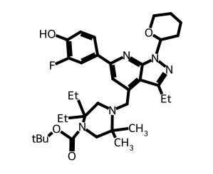 CCc1nn(C2CCCCO2)c2nc(-c3ccc(O)c(F)c3)cc(CN3CC(CC)(CC)N(C(=O)OC(C)(C)C)CC3(C)C)c12